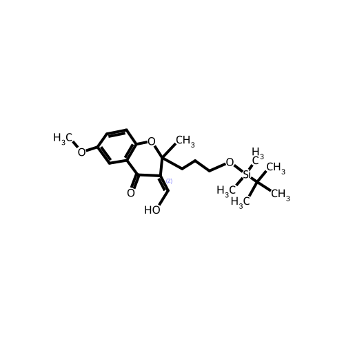 COc1ccc2c(c1)C(=O)/C(=C\O)C(C)(CCCO[Si](C)(C)C(C)(C)C)O2